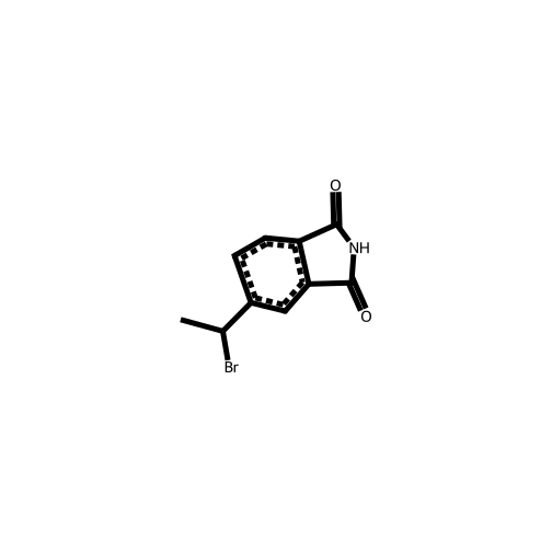 CC(Br)c1ccc2c(c1)C(=O)NC2=O